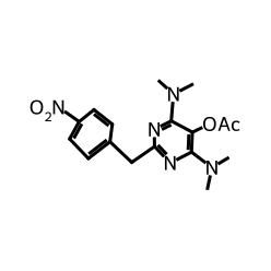 CC(=O)Oc1c(N(C)C)nc(Cc2ccc([N+](=O)[O-])cc2)nc1N(C)C